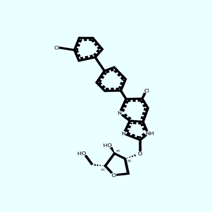 OC[C@H]1OC[C@@H](Oc2nc3nc(-c4ccc(-c5cccc(Cl)c5)cc4)c(Cl)cc3[nH]2)[C@@H]1O